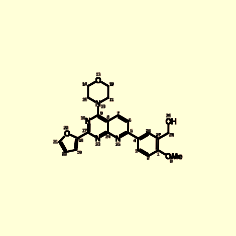 COc1ccc(-c2ccc3c(N4CCOCC4)nc(-c4ccco4)nc3n2)cc1CO